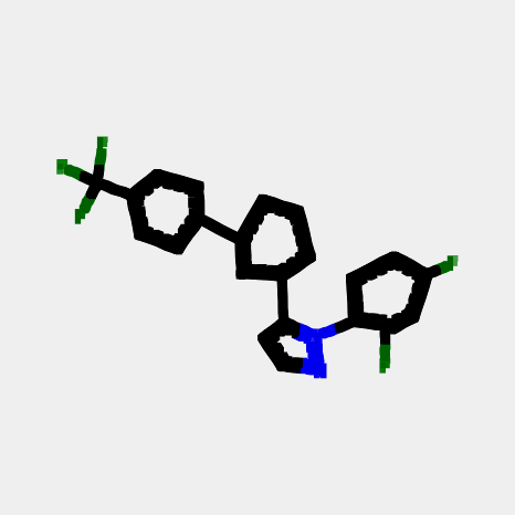 Fc1ccc(-n2nccc2-c2cccc(-c3ccc(C(F)(F)F)cc3)c2)c(F)c1